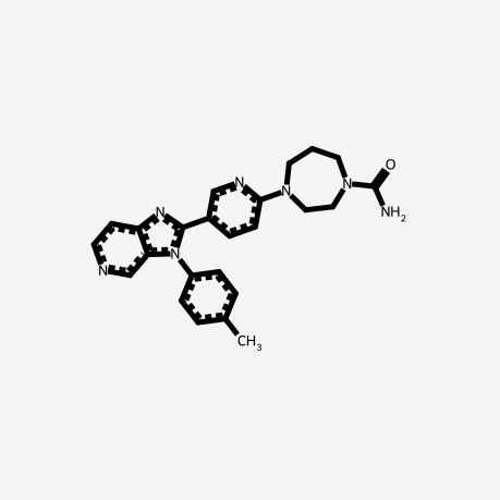 Cc1ccc(-n2c(-c3ccc(N4CCCN(C(N)=O)CC4)nc3)nc3ccncc32)cc1